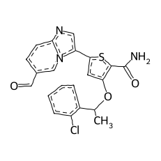 CC(Oc1cc(-c2cnc3ccc(C=O)cn23)sc1C(N)=O)c1ccccc1Cl